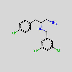 NCC(Cc1ccc(Cl)cc1)NCc1cc(Cl)cc(Cl)c1